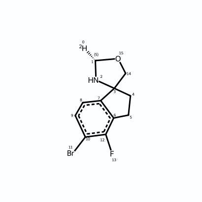 [2H][C@H]1NC2(CCc3c2ccc(Br)c3F)CO1